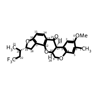 COc1cc2c(cc1C)OC[C@H]1Oc3c(ccc4c3C[C@H](C(C)CC(F)(F)F)O4)C(=O)[C@@H]21